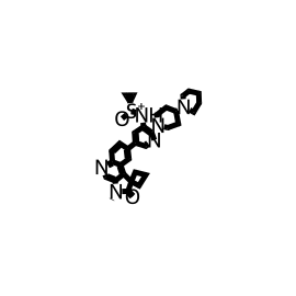 CN1C(=O)C2(CCC2)c2c1cnc1ccc(-c3cnc(N4CCC(N5CCCCC5)CC4)c(N[S+]([O-])C4CC4)c3)cc21